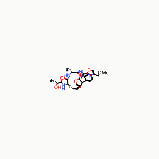 COCc1coc(-c2nc3oc2[C@@]24c5ccccc5NC2Oc2ccc(cc24)C[C@H](NC(=O)[C@@H](O)C(C)C)C(=O)N[C@H]3C(C)C)n1